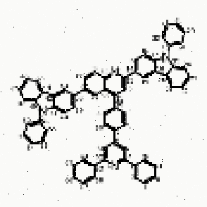 c1ccc(-c2cc(-c3ccc(-c4cc(-c5ccc6c(c5)c5ccccc5n6-c5ccccc5)nc5ccc(-c6ccc7c(c6)c6ccccc6n7-c6ccccc6)cc45)cc3)cc(-c3ccccc3)n2)cc1